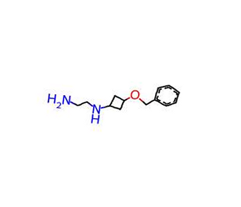 NCCNC1CC(OCc2ccccc2)C1